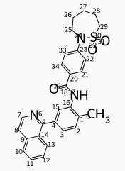 Cc1ccc(-c2nccc3ccccc23)cc1NC(=O)c1ccc(N2CCCCCS2(=O)=O)cc1